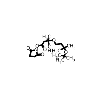 CC(C)(C)OC(C)(C)CCOC(C)(C)CC(=O)ON1C(=O)CCC1=O